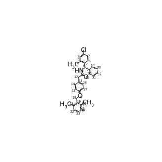 Cc1cc(Cl)ccc1C(NC(=O)Cc1ccc(OCc2c(C)ccnc2C)cc1)c1ccccc1